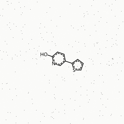 Oc1ccc(-c2cccs2)cn1